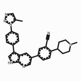 Cc1cnnn1-c1ccc(-c2c[nH]c3ncc(-c4ccc(C5CCN(C)CC5)c(C#N)c4)cc23)cc1